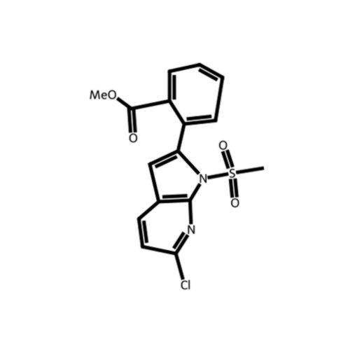 COC(=O)c1ccccc1-c1cc2ccc(Cl)nc2n1S(C)(=O)=O